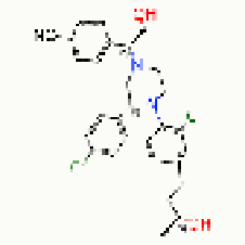 C[C@H](O)CCc1ccc(N2CCN([C@H](CO)c3ccc(C#N)cc3)C[C@H]2c2ccc(Cl)cc2)c(Cl)c1